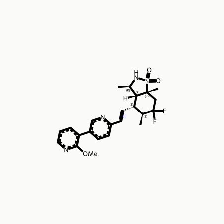 COc1ncccc1-c1ccc(/C=C/[C@@H]2[C@@H]3[C@@H](C)NS(=O)(=O)[C@]3(C)CC(F)(F)[C@H]2C)nc1